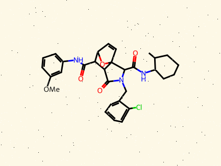 COc1cccc(NC(=O)C2C3C=CC4(O3)C2C(=O)N(Cc2ccccc2Cl)C4C(=O)NC2CCCCC2C)c1